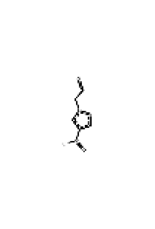 O=[C]Cn1cc([N+](=O)[O-])cn1